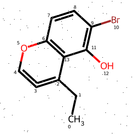 CCC1=C=COc2ccc(Br)c(O)c21